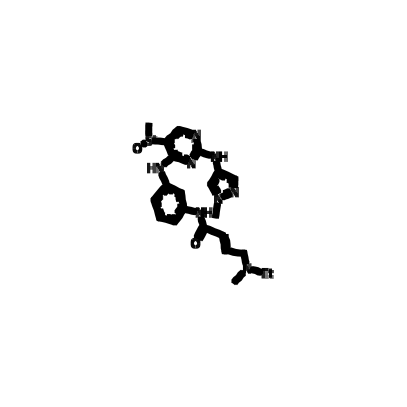 CCN(C)C/C=C/C(=O)Nc1cccc(Nc2nc(Nc3cnn(C)c3)ncc2[S+](C)[O-])c1